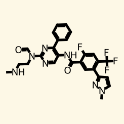 CNCCN(C=O)c1ncc(NC(=O)c2cc(-c3ccn(C)n3)c(C(F)(F)F)cc2F)c(-c2ccccc2)n1